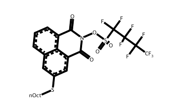 CCCCCCCCSc1cc2c3c(cccc3c1)C(=O)N(OS(=O)(=O)C(F)(F)C(F)(F)C(F)(F)C(F)(F)F)C2=O